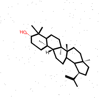 C=C(C)[C@@H]1CC[C@]2(C)CC[C@]3(C)C(CC[C@@H]4[C@@]5(C)CC[C@H](O)C(C)(C)C5CC[C@]43C)C12